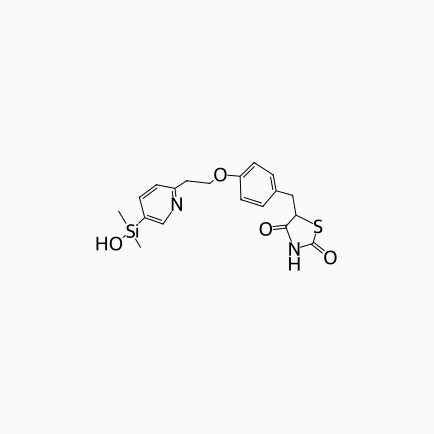 C[Si](C)(O)c1ccc(CCOc2ccc(CC3SC(=O)NC3=O)cc2)nc1